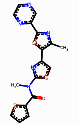 Cc1nc(-c2cnccn2)sc1-c1csc(N(C)C(=O)c2cccs2)n1